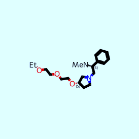 CCOCCOCCO[C@H]1CCN(C[C@@H](NC)c2ccccc2)C1